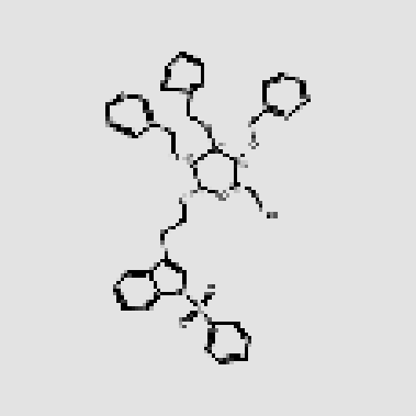 O=S(=O)(c1ccccc1)n1cc(CCO[C@H]2O[C@H](CO)[C@@H](OCc3ccccc3)[C@H](OCc3ccccc3)[C@H]2OCc2ccccc2)c2ccccc21